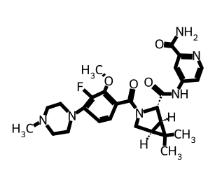 COc1c(C(=O)N2C[C@H]3[C@@H]([C@H]2C(=O)Nc2ccnc(C(N)=O)c2)C3(C)C)ccc(N2CCN(C)CC2)c1F